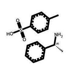 C[C@@H](N)c1ccccc1.Cc1ccc(S(=O)(=O)O)cc1